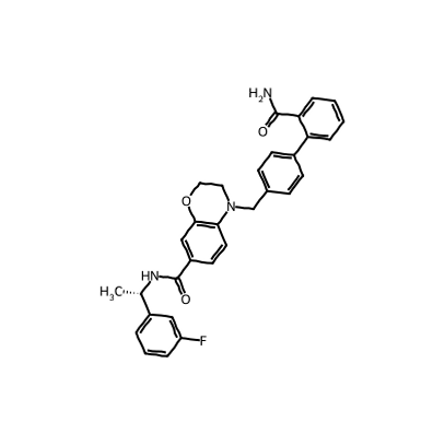 C[C@H](NC(=O)c1ccc2c(c1)OCCN2Cc1ccc(-c2ccccc2C(N)=O)cc1)c1cccc(F)c1